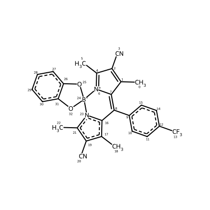 CC1=C(C#N)C(C)=[N+]2C1=C(c1ccc(C(F)(F)F)cc1)c1c(C)c(C#N)c(C)n1[B-]21Oc2ccccc2O1